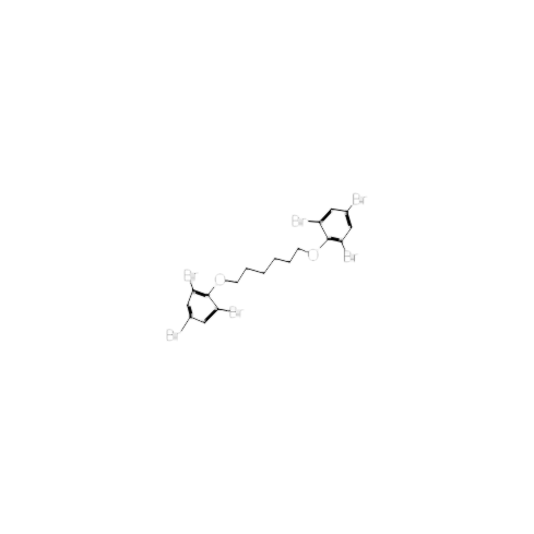 Brc1cc(Br)c(OCCCCCCOc2c(Br)cc(Br)cc2Br)c(Br)c1